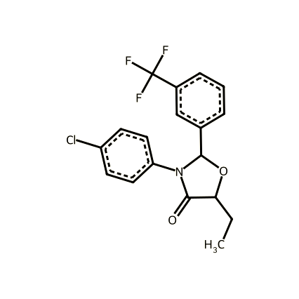 CCC1OC(c2cccc(C(F)(F)F)c2)N(c2ccc(Cl)cc2)C1=O